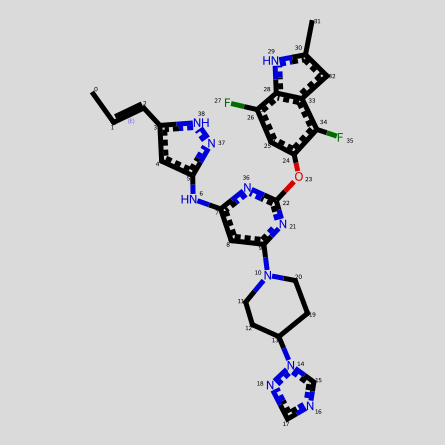 C/C=C/c1cc(Nc2cc(N3CCC(n4cncn4)CC3)nc(Oc3cc(F)c4[nH]c(C)cc4c3F)n2)n[nH]1